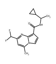 Cc1cc(C(F)F)nc2c(C(=O)NC(C)C3CC3)ccn12